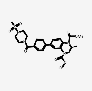 COC(=O)N1c2ccc(-c3ccc(C(=O)N4CCN(S(C)(=O)=O)CC4)cc3)cc2N(C(=O)OC(C)C)C[C@@H]1C